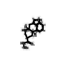 CCCCNC(=O)C1CN[C@@H]2Cc3c[nH]c4cccc(c34)[C@H]2C1